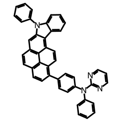 c1ccc(N(c2ccc(-c3ccc4ccc5cc6c(c7ccc3c4c57)c3ccccc3n6-c3ccccc3)cc2)c2ncccn2)cc1